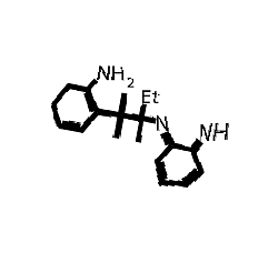 CCC(C)(/N=C1\C=CC=CC1=N)C(C)(C)C1=C(N)CCC=C1